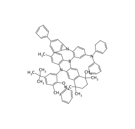 Cc1ccc2c(c1)N(c1cc(C(C)(C)C)cc(C)c1Oc1ccccc1)c1cc3c(cc1B2c1cc(N(C2=CC=CCC2)c2ccccc2)ccc1N1c2ccc(-c4ccccc4)cc21)C(C)(C)CCC3(C)C